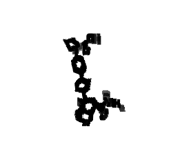 NNC(=O)c1cc(-c2ccc(-c3ccc(N4CCC[C@@H]4C(=O)O)cc3)cc2)nc2ccncc12